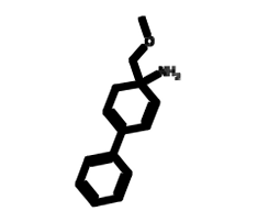 COCC1(N)C=CC(c2ccccc2)=CC1